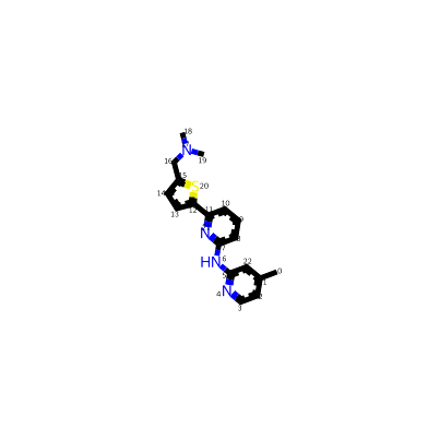 Cc1ccnc(Nc2cccc(-c3ccc(CN(C)C)s3)n2)c1